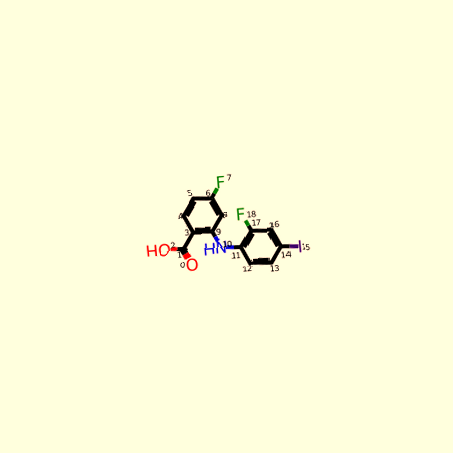 O=C(O)c1ccc(F)cc1Nc1ccc(I)cc1F